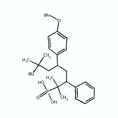 CCC(C)C(C)(C)CC(CC(c1ccccc1)C(C)(C)P(=O)(O)O)c1ccc(OC(C)(C)C)cc1